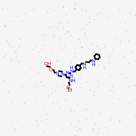 CCOCCNc1cc(N2CCN(CCOCCO)CC2)nc(NCc2ccc(CNCCCNC3CCCCC3)cc2)n1